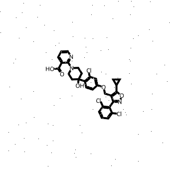 O=C(O)c1cccnc1N1CCC(O)(c2ccc(OCc3c(-c4c(Cl)cccc4Cl)noc3C3CC3)cc2Cl)CC1